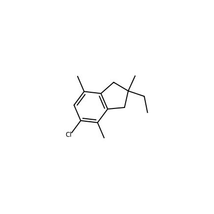 CCC1(C)Cc2c(C)cc(Cl)c(C)c2C1